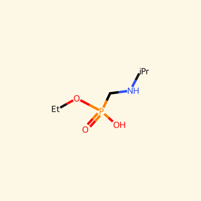 CCOP(=O)(O)CNC(C)C